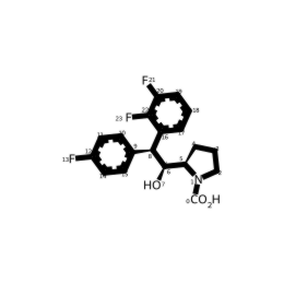 O=C(O)N1CCC[C@@H]1[C@@H](O)[C@@H](c1ccc(F)cc1)c1cccc(F)c1F